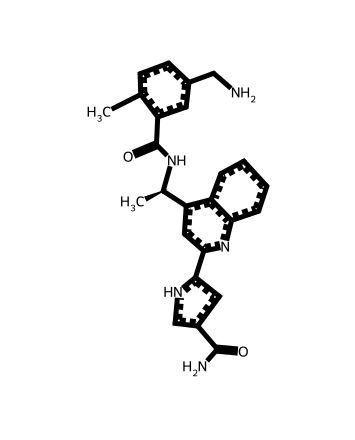 Cc1ccc(CN)cc1C(=O)N[C@H](C)c1cc(-c2cc(C(N)=O)c[nH]2)nc2ccccc12